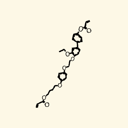 C=CC(=O)OCCCCOc1ccc(OCCOc2ccc(-c3ccc(OC(=O)C=C)cc3)cc2OCC)cc1